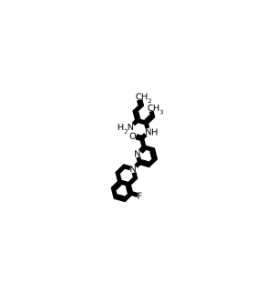 C=C/C=C(N)\C(=C/C)NC(=O)c1cccc(N2CCc3cccc(F)c3C2)n1